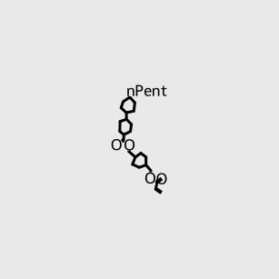 C=CC(=O)OCC1CCC(COC(=O)C2CCC(C3CCC(CCCCC)CC3)CC2)CC1